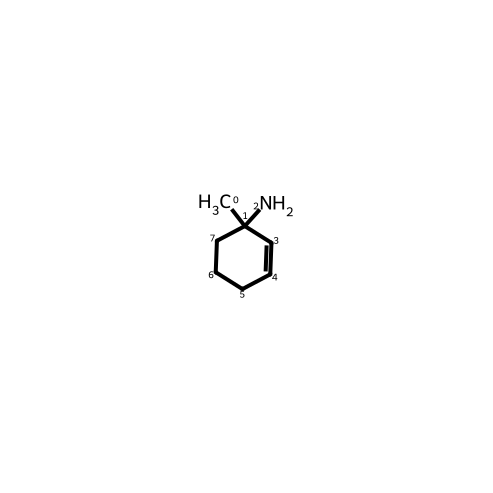 CC1(N)C=CCCC1